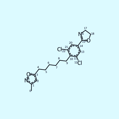 Cc1cc(CCCCCCc2c(Cl)cc(C3=NCCO3)cc2Cl)on1